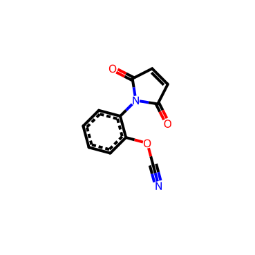 N#COc1ccccc1N1C(=O)C=CC1=O